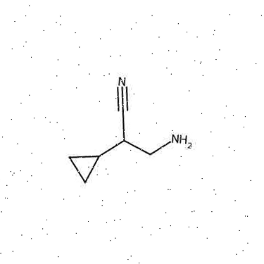 N#CC(CN)C1CC1